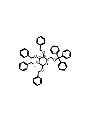 c1ccc(COC2O[C@H](COC(c3ccccc3)(c3ccccc3)c3ccccc3)[C@H](OCc3ccccc3)[C@H](OCc3ccccc3)[C@H]2OCc2ccccc2)cc1